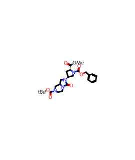 COC(=O)[C@H]1C[C@H](N2CC3CN(C(=O)OC(C)(C)C)CCN3C2=O)CN1C(=O)OCc1ccccc1